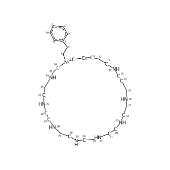 c1ccc(CCN2CCCCCNCCCNCCNCCNCCNCCNCCNCCNCC2)cc1